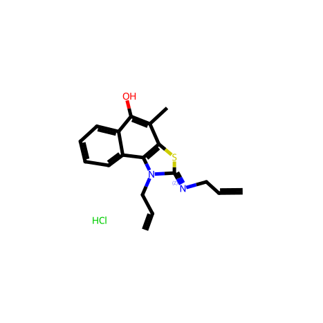 C=CC/N=c1\sc2c(C)c(O)c3ccccc3c2n1CC=C.Cl